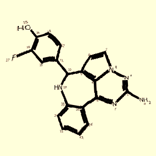 Nc1nc2c3c(ccn3n1)C(c1ccc(O)c(F)c1)Nc1ccccc1-2